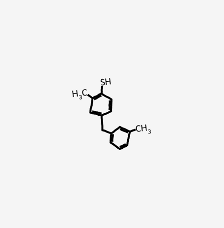 Cc1cccc(Cc2ccc(S)c(C)c2)c1